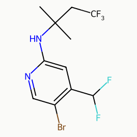 CC(C)(CC(F)(F)F)Nc1cc(C(F)F)c(Br)cn1